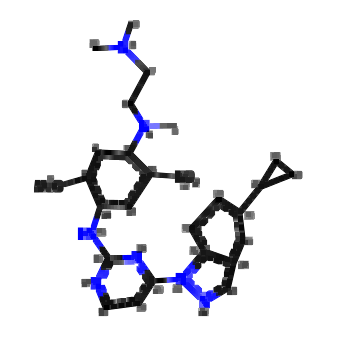 COc1cc(N(C)CCN(C)C)c([N+](=O)[O-])cc1Nc1nccc(-n2ncc3cc(C4CC4)ccc32)n1